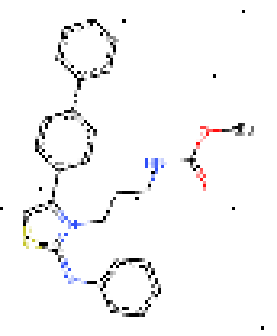 CC(C)(C)OC(=O)NCCCn1c(-c2ccc(-c3ccccc3)cc2)cs/c1=N/c1ccccc1